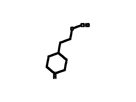 O=COCCC1CCNCC1